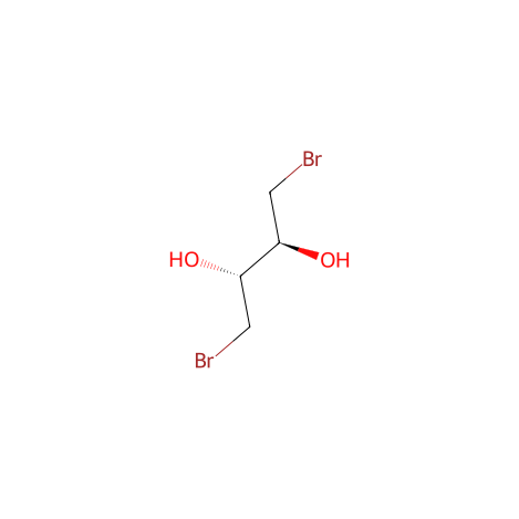 O[C@H](CBr)[C@@H](O)CBr